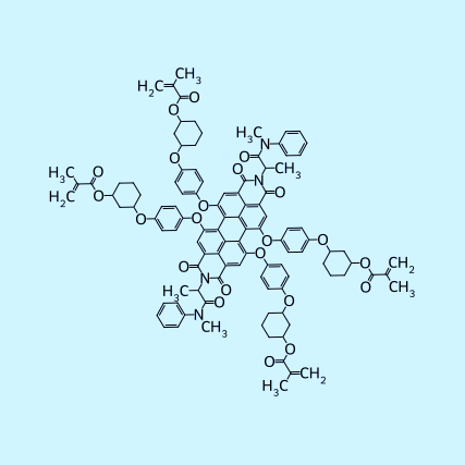 C=C(C)C(=O)OC1CCCC(Oc2ccc(Oc3cc4c5c(cc(Oc6ccc(OC7CCCC(OC(=O)C(=C)C)C7)cc6)c6c7c(Oc8ccc(OC9CCCC(OC(=O)C(=C)C)C9)cc8)cc8c9c(cc(Oc%10ccc(OC%11CCCC(OC(=O)C(=C)C)C%11)cc%10)c(c3c56)c97)C(=O)N(C(C)C(=O)N(C)c3ccccc3)C8=O)C(=O)N(C(C)C(=O)N(C)c3ccccc3)C4=O)cc2)C1